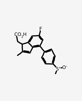 CC1=Cc2c(-c3ccc([S+](C)[O-])cc3)cc(F)cc2C1CC(=O)O